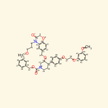 COCCCN1C(=O)COc2ccc(COC3CN(C(=O)OCc4ccccc4)CCC3c3ccc(OCCOc4cccc(OC)c4)cc3)cc21